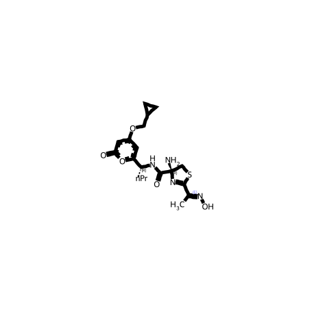 CCC[C@@H](NC(=O)[C@]1(N)CSC(/C(C)=N/O)=N1)c1cc(OCC2CC2)cc(=O)o1